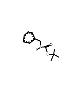 CC(C)(C)OC(=O)N(I)Cc1ccccc1